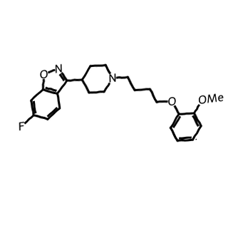 COc1c[c]ccc1OCCCCN1CCC(c2noc3cc(F)ccc23)CC1